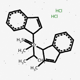 CC1=Cc2ccccc2[CH]1[Zr]([CH3])(=[SiH2])([CH](C)C)[CH]1C=Cc2ccccc21.Cl.Cl